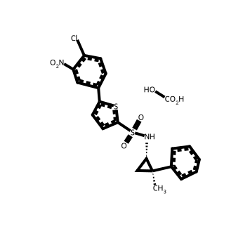 C[C@]1(c2ccccc2)C[C@@H]1NS(=O)(=O)c1ccc(-c2ccc(Cl)c([N+](=O)[O-])c2)s1.O=C(O)O